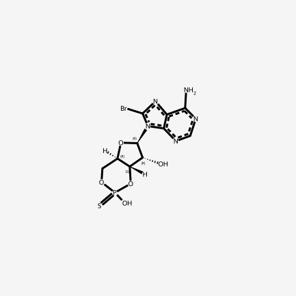 Nc1ncnc2c1nc(Br)n2[C@@H]1O[C@@H]2COP(O)(=S)O[C@H]2[C@H]1O